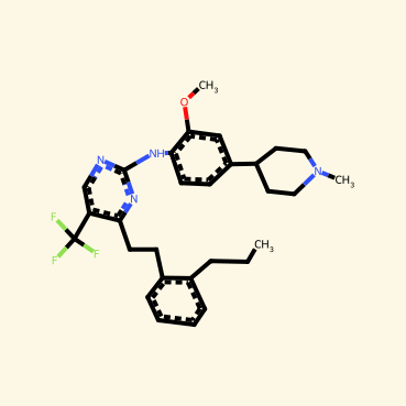 CCCc1ccccc1CCc1nc(Nc2ccc(C3CCN(C)CC3)cc2OC)ncc1C(F)(F)F